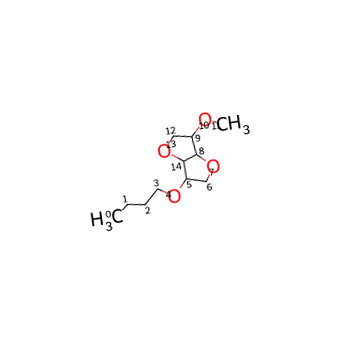 CCCCOC1COC2C(OC)COC12